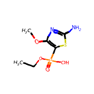 CCOP(=O)(O)c1sc(N)nc1OC